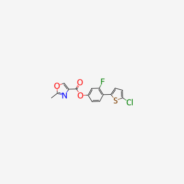 Cc1nc(C(=O)Oc2ccc(-c3ccc(Cl)s3)c(F)c2)co1